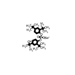 CC(C)(C)c1ccc(OP(=O)([O-])Oc2ccc(C(C)(C)C)cc2C(C)(C)C)c(C(C)(C)C)c1.[Na+]